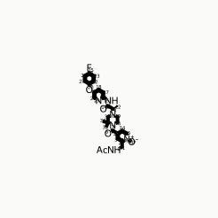 CC(=O)NCc1cc(C(=O)N2CCN([C@H](C)C(=O)Nc3ccc(Oc4ccc(F)cc4)cn3)CC2(C)C)cc[n+]1[O-]